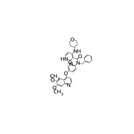 COc1cc2nccc(Oc3ccc(N(Cc4ccccc4)C(=O)c4c(NC5CCOCC5)cc[nH]c4=O)nc3)c2cc1OC